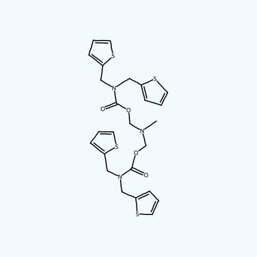 CN(COC(=O)N(Cc1cccs1)Cc1cccs1)COC(=O)N(Cc1cccs1)Cc1cccs1